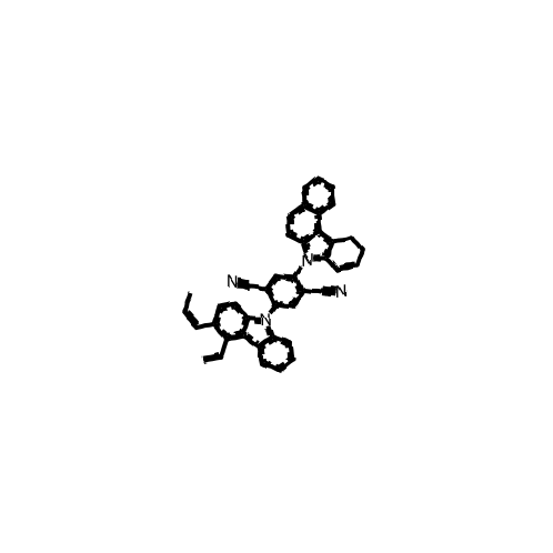 C=Cc1c(/C=C\C)ccc2c1c1ccccc1n2-c1cc(C#N)c(-n2c3c(c4c5ccccc5ccc42)CCC=C3)cc1C#N